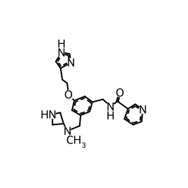 CN(Cc1cc(CNC(=O)c2cccnc2)cc(OCCc2c[nH]cn2)c1)C1CNC1